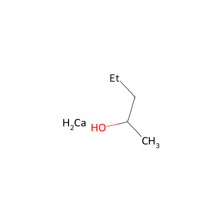 CCCC(C)O.[CaH2]